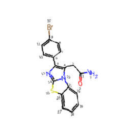 NC(=O)Cc1c(-c2ccc(Br)cc2)nc2sc3ccccc3n12